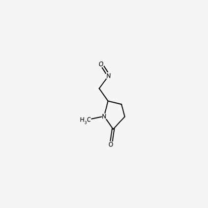 CN1C(=O)CCC1CN=O